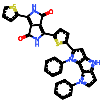 O=C1NC(c2ccc(-c3cc4[nH]c5ccn(-c6ccccc6)c5c4n3-c3ccccc3)s2)=C2C(=O)NC(c3cccs3)=C12